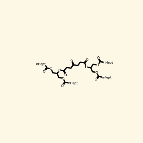 CCCCCCCC(=O)OCC(COC(=O)CCCCCCC)OC(=O)CCC(=O)CCC(=O)OC(COC(=O)CCCCCCC)COC(=O)CCCCCCC